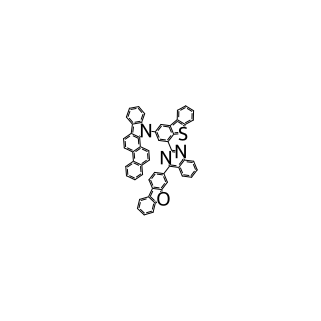 c1ccc2c(c1)ccc1c2ccc2c3ccccc3n(-c3cc(-c4nc(-c5ccc6c(c5)oc5ccccc56)c5ccccc5n4)c4sc5ccccc5c4c3)c12